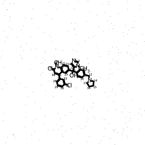 Cn1cncc1C(O)(c1ccc(CN2CCCC2)cc1)c1ccc2c(c1)c(-c1cccc(Cl)c1)cc(=O)n2C